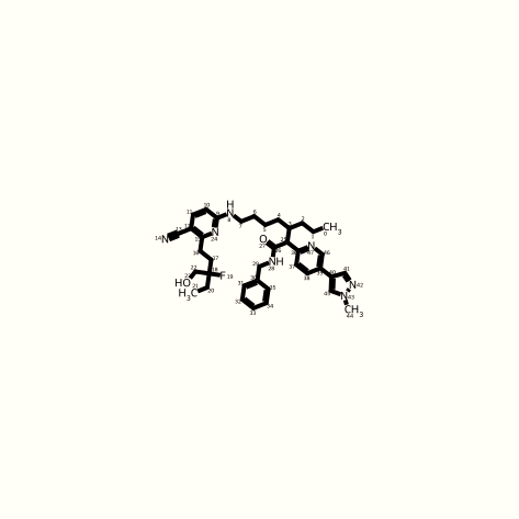 CCCC(CCCCNc1ccc(C#N)c(CCC(F)(CC)CO)n1)C(C(=O)NCc1ccccc1)c1ccc(-c2cnn(C)c2)cn1